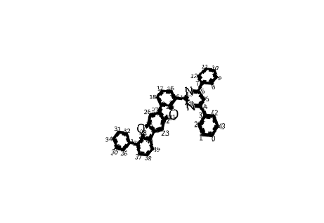 c1ccc(-c2cc(-c3ccccc3)nc(-c3cccc4c3oc3cc5c(cc34)oc3c(-c4ccccc4)cccc35)n2)cc1